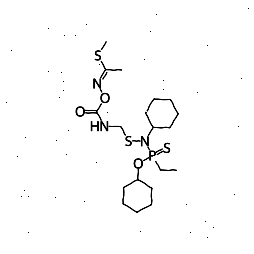 CCP(=S)(OC1CCCCC1)N(SCNC(=O)O/N=C(\C)SC)C1CCCCC1